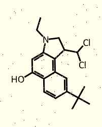 CCN1CC(C(Cl)Cl)c2c1cc(O)c1ccc(C(C)(C)C)cc21